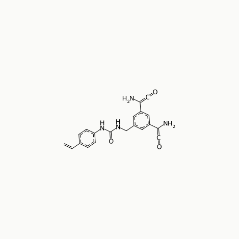 C=Cc1ccc(NC(=O)NCc2cc(C(N)=C=O)cc(C(N)=C=O)c2)cc1